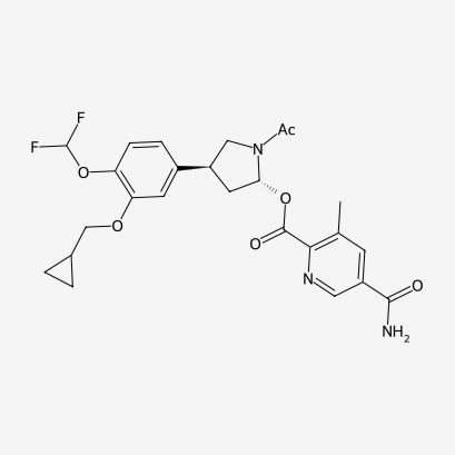 CC(=O)N1C[C@H](c2ccc(OC(F)F)c(OCC3CC3)c2)C[C@H]1OC(=O)c1ncc(C(N)=O)cc1C